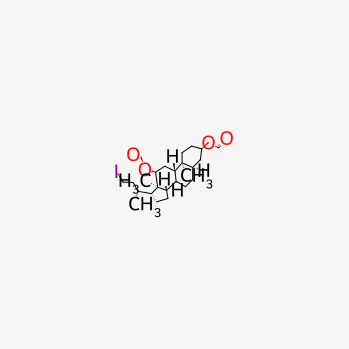 C[C@H](CCI)[C@H]1CC[C@H]2[C@@H]3CC[C@@H]4C[C@H](OC=O)CC[C@]4(C)[C@H]3C[C@H](OC=O)[C@]12C